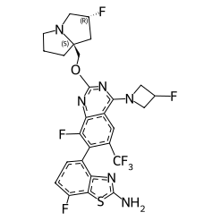 Nc1nc2c(-c3c(C(F)(F)F)cc4c(N5CC(F)C5)nc(OC[C@@]56CCCN5C[C@H](F)C6)nc4c3F)ccc(F)c2s1